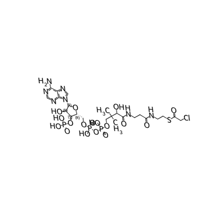 CC(C)(COP(=O)(O)OP(=O)(O)OC[C@H]1O[C@@H](n2cnc3c(N)ncnc32)[C@H](O)[C@@H]1OP(=O)(O)O)C(O)C(=O)NCCC(=O)NCCSC(=O)CCl